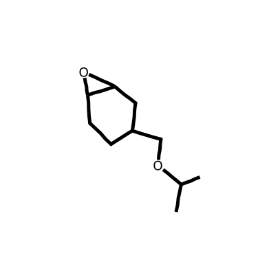 CC(C)OCC1CCC2OC2C1